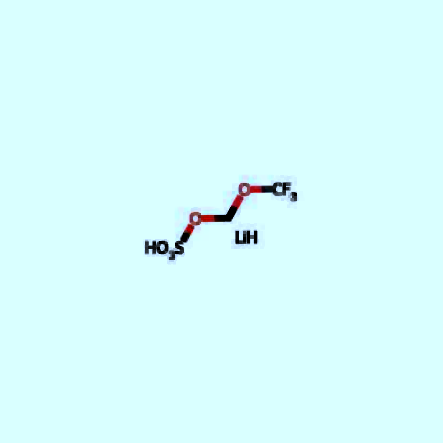 O=S(=O)(O)OCOC(F)(F)F.[LiH]